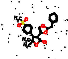 CC1(C)OC(=O)C(C2=COC(Cc3ccccc3)O2)=C1c1ccc(S(C)(=O)=O)cc1